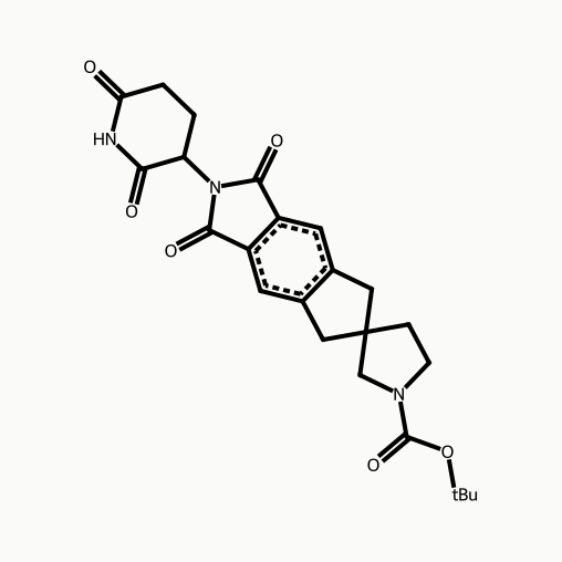 CC(C)(C)OC(=O)N1CCC2(Cc3cc4c(cc3C2)C(=O)N(C2CCC(=O)NC2=O)C4=O)C1